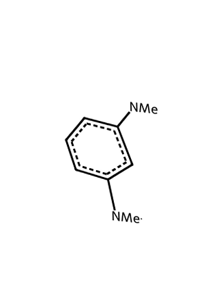 C[N]c1cccc(NC)c1